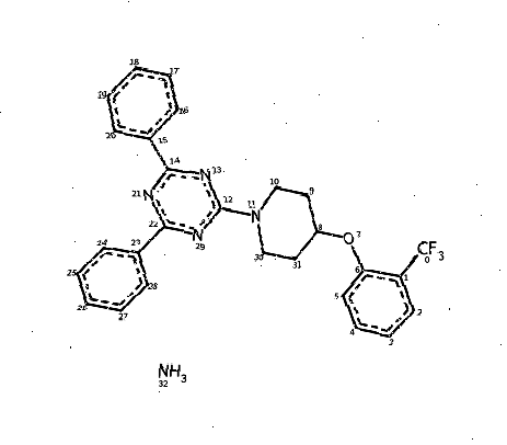 FC(F)(F)c1ccccc1OC1CCN(c2nc(-c3ccccc3)nc(-c3ccccc3)n2)CC1.N